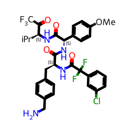 COc1ccc([C@H](NC(=O)[C@H](Cc2ccc(CN)cc2)NC(=O)C(F)(F)c2cccc(Cl)c2)C(=O)N[C@H](C(=O)C(F)(F)F)C(C)C)cc1